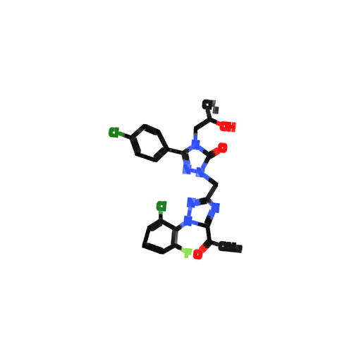 COC(=O)c1nc(Cn2nc(-c3ccc(Cl)cc3)n(CC(O)C(F)(F)F)c2=O)nn1-c1c(F)cccc1Cl